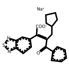 O=C([O-])/C(=C(\CC1CCCC1)C(=O)c1ccccc1)c1ccc2nsnc2c1.[Na+]